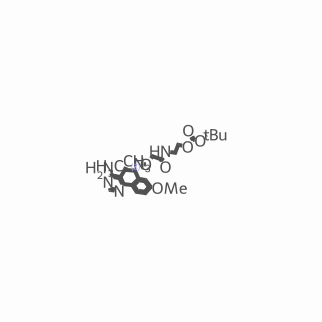 COc1ccc2c(c1)/C(=N\OCC(=O)NCCOC(=O)OC(C)(C)C)C(C)(C)c1c(N)ncnc1-2